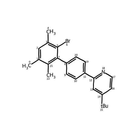 Cc1cc(C)c(Br)c(-c2ccc(-c3cc(C(C)(C)C)ccn3)cc2)c1C